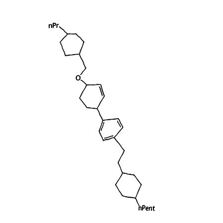 CCCCCC1CCC(CCc2ccc(C3C=CC(OCC4CCC(CCC)CC4)CC3)cc2)CC1